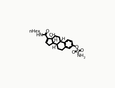 CCCCCCNC(=O)C1=CC[C@H]2[C@@H]3CCc4cc(OS(N)(=O)=O)ccc4[C@H]3CC[C@]12C